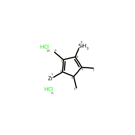 CC1=[C]([Zr])C(C)C(C)=C1[SiH3].Cl.Cl